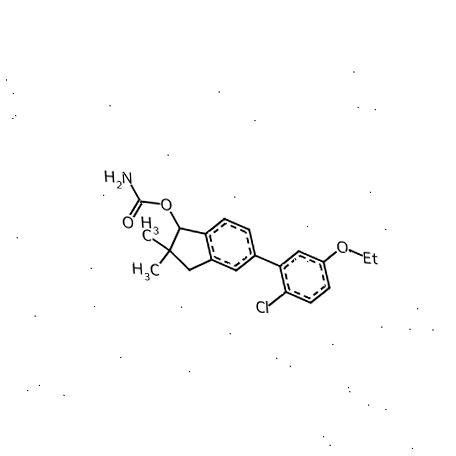 CCOc1ccc(Cl)c(-c2ccc3c(c2)CC(C)(C)C3OC(N)=O)c1